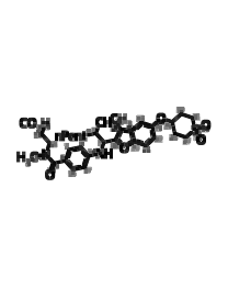 CCCCCC(C)C(Nc1ccc(C(=O)N(C)CCC(=O)O)cc1)c1oc2ccc(OC3CCS(=O)(=O)CC3)cc2c1C